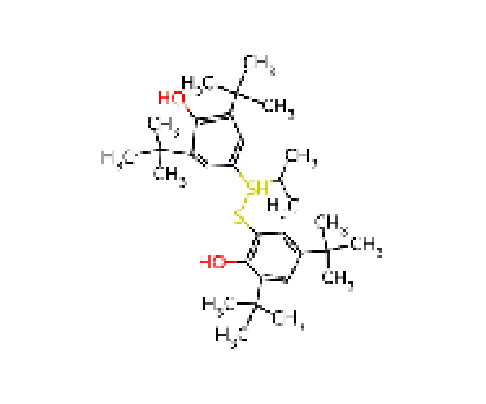 CC(C)[SH](Sc1cc(C(C)(C)C)cc(C(C)(C)C)c1O)c1cc(C(C)(C)C)c(O)c(C(C)(C)C)c1